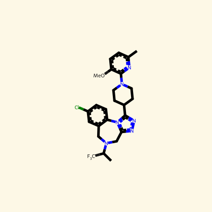 COc1ccc(C)nc1N1CCC(c2nnc3n2-c2ccc(Cl)cc2CN(C(C)C(F)(F)F)C3)CC1